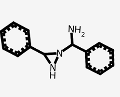 NC(c1ccccc1)N1NC1c1ccccc1